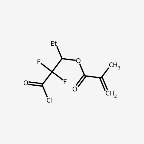 C=C(C)C(=O)OC(CC)C(F)(F)C(=O)Cl